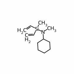 C=C[Si](C)(C=C)N(C)C1CCCCC1